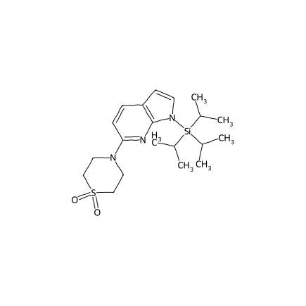 CC(C)[Si](C(C)C)(C(C)C)n1ccc2ccc(N3CCS(=O)(=O)CC3)nc21